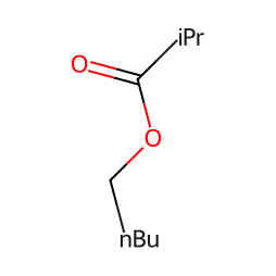 CCCCCOC(=O)C(C)C